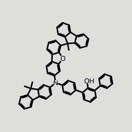 CC1(C)c2ccccc2-c2ccc(N(c3ccc(-c4cccc(-c5ccccc5)c4O)cc3)c3ccc4c(c3)oc3c(C5(C)c6ccccc6-c6ccccc65)cccc34)cc21